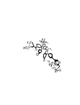 CC(NCc1ccc(Cl)cc1Oc1ccc(-c2cnc(CN(C)C)n2C)cc1)C(=O)NC(CO[Si](C)(C)C(C)(C)C)C(=O)NC1(Cc2ccc(Cl)cc2)CCCN(C(=O)C(CC(=O)O)CC(F)(F)F)C1